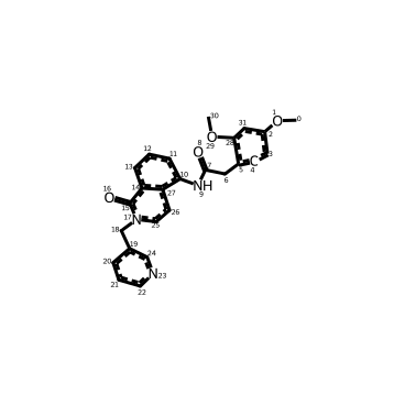 COc1ccc(CC(=O)Nc2cccc3c(=O)n(Cc4cccnc4)ccc23)c(OC)c1